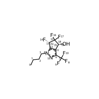 CCCCn1nc(C(F)(F)F)c2c1[C@H](F)C(F)(F)[C@H]2O